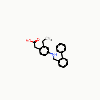 CCc1cc(NCc2ccccc2-c2ccccc2)ccc1CC(=O)O